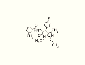 CCCn1nc(C)c2c1N(CC)C(=O)[C@@H](CNC(=O)c1cccc(C)c1)[C@H]2c1ccc(F)cc1